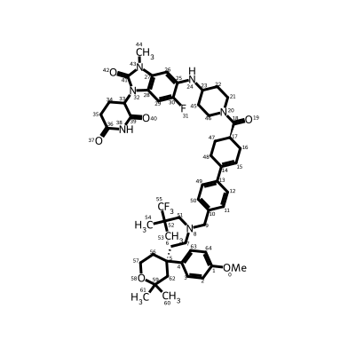 COc1ccc([C@]2(CCN(Cc3ccc(C4=CC[C@H](C(=O)N5CCC(Nc6cc7c(cc6F)n(C6CCC(=O)NC6=O)c(=O)n7C)CC5)CC4)cc3)CC(C)(C)C(F)(F)F)CCOC(C)(C)C2)cc1